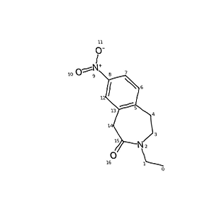 CCN1CCc2ccc([N+](=O)[O-])cc2CC1=O